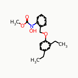 CCc1ccc(OCc2ccccc2N(O)C(=O)OC)c(CC)c1